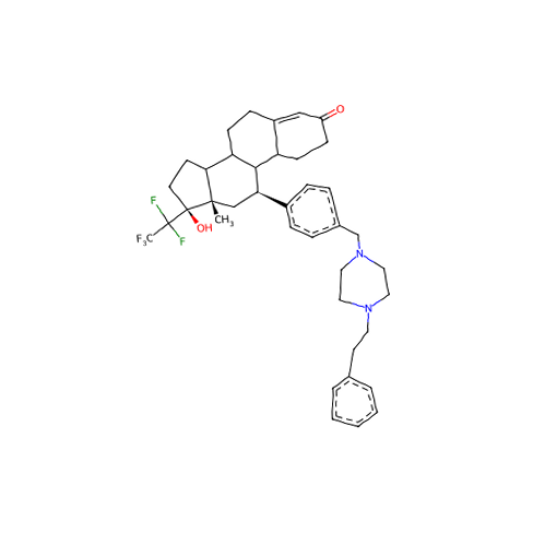 C[C@]12C[C@H](c3ccc(CN4CCN(CCc5ccccc5)CC4)cc3)C3C4CCC(=O)C=C4CCC3C1CC[C@@]2(O)C(F)(F)C(F)(F)F